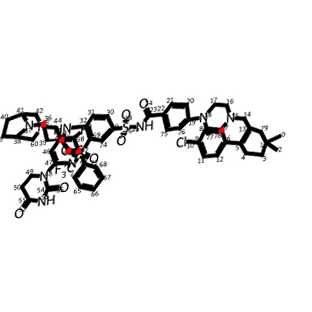 CC1(C)CCC(c2ccc(Cl)cc2)=C(CN2CCN(c3ccc(C(=O)NS(=O)(=O)c4ccc(N[C@H](CCN5C6CCC5CN(Cc5cc(N7CCC(=O)NC7=O)ncc5F)C6)CSc5ccccc5)c(S(=O)(=O)C(F)(F)F)c4)cc3)CC2)C1